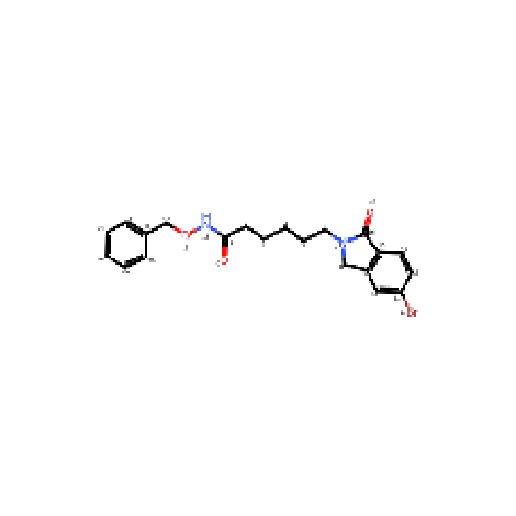 O=C(CCCCCN1Cc2cc(Br)ccc2C1=O)NOCc1ccccc1